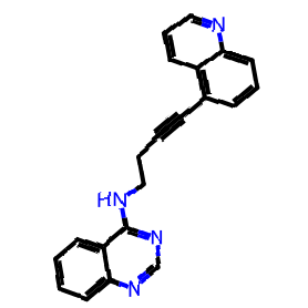 C(#Cc1cccc2ncccc12)CCNc1ncnc2ccccc12